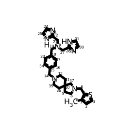 Cc1ccsc1CN1CCC2(CCN(Cc3ccc(CN(Cc4ncc[nH]4)Cc4ncc[nH]4)cc3)CC2)C1